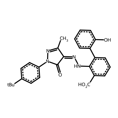 CC1=NN(c2ccc(C(C)(C)C)cc2)C(=O)C1=NNc1c(C(=O)O)cccc1-c1ccccc1O